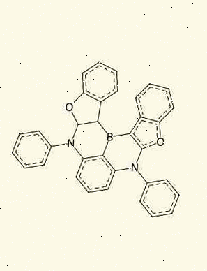 c1ccc(N2c3cccc4c3B(c3c2oc2ccccc32)C2c3ccccc3OC2N4c2ccccc2)cc1